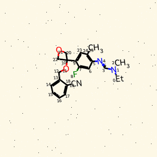 CCN(C)C=Nc1cc(F)c(C2(OCc3ccccc3C#N)COC2)cc1C